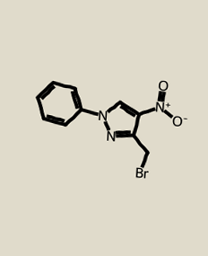 O=[N+]([O-])c1cn(-c2ccccc2)nc1CBr